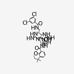 CC1(C)CCOc2c(C(=O)NC3CN4C(=N)N[C@@H](CNC(=O)c5cc(Cl)cc(Cl)c5)C5NC(=N)N[C@@]54C3(O)O)cccc21